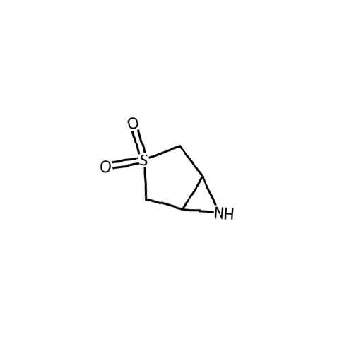 O=S1(=O)CC2NC2C1